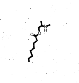 CCCCCCCC(=O)OCC(C)NC